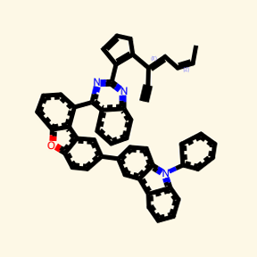 C#C/C(=C\C=C/C)C1=C(c2nc(-c3cccc4oc5ccc(-c6ccc7c(c6)c6ccccc6n7-c6ccccc6)cc5c34)c3ccccc3n2)C=CC1